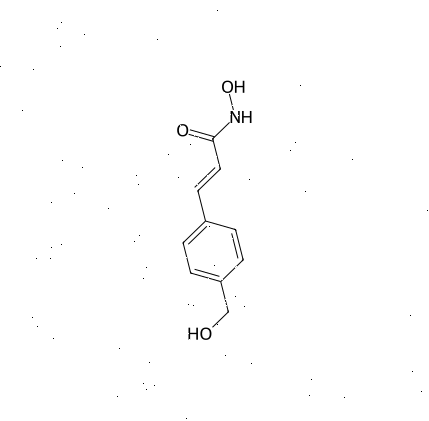 O=C(C=Cc1ccc(CO)cc1)NO